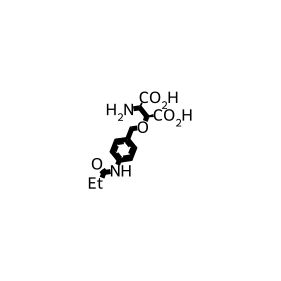 CCC(=O)Nc1ccc(CO[C@H](C(=O)O)[C@H](N)C(=O)O)cc1